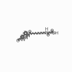 Nc1nn(C(=O)CCCCCCCCCCCNC(=O)CCC(=O)O)c2cccc(-c3ccc(NC=O)cc3)c12